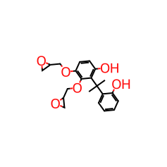 CC(C)(c1ccccc1O)c1c(O)ccc(OCC2CO2)c1OCC1CO1